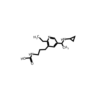 CCc1ncc(C(C)NC2CC2)cc1CCCNC(=O)O